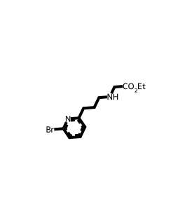 CCOC(=O)CNCCCc1cccc(Br)n1